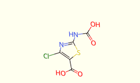 O=C(O)Nc1nc(Cl)c(C(=O)O)s1